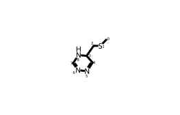 CSCC1C=NN=CN1